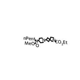 CCCCCN(C(=O)OC)C1CCN(C2CC3(CCN(C(=O)OCC)C3)C2)CC1